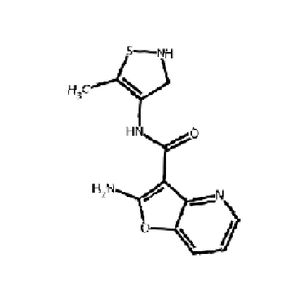 CC1=C(NC(=O)c2c(N)oc3cccnc23)CNS1